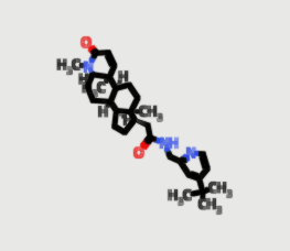 CN1C(=O)C=C[C@]2(C)[C@H]3CC[C@]4(C)[C@@H](CC(=O)NCc5cc(C(C)(C)C)ccn5)CC[C@H]4[C@@H]3CC[C@@H]12